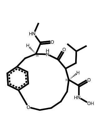 CNC(=O)[C@@H]1Cc2ccc(cc2)OCCCC[C@H](C(=O)NO)C(CC(C)C)C(=O)N1